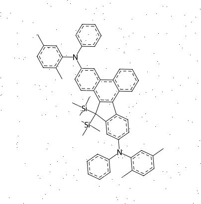 Cc1ccc(C)c(N(c2ccccc2)c2ccc3c(c2)C([Si](C)(C)C)([Si](C)(C)C)c2c-3c3ccccc3c3cc(N(c4ccccc4)c4cc(C)ccc4C)ccc23)c1